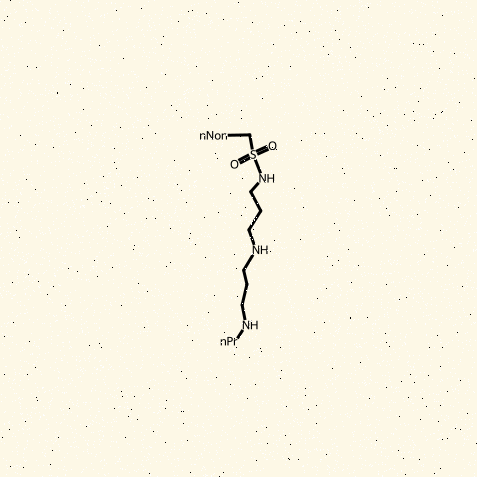 CCCCCCCCCCS(=O)(=O)NCCCNCCCNCCC